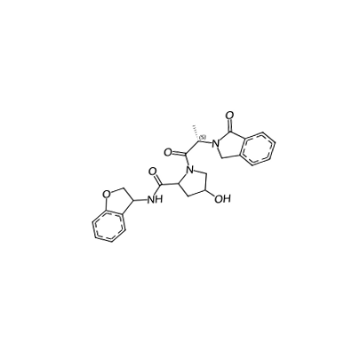 C[C@@H](C(=O)N1CC(O)CC1C(=O)NC1COc2ccccc21)N1Cc2ccccc2C1=O